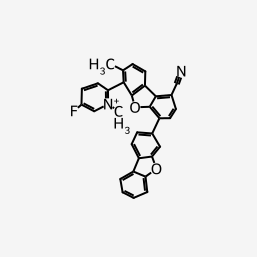 Cc1ccc2c(oc3c(-c4ccc5c(c4)oc4ccccc45)ccc(C#N)c32)c1-c1ccc(F)c[n+]1C